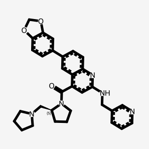 O=C(c1cc(NCc2cccnc2)nc2ccc(-c3ccc4c(c3)OCO4)cc12)N1CCC[C@H]1CN1CCCC1